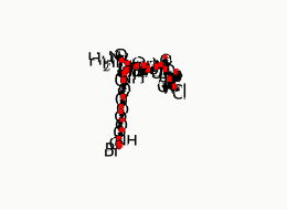 COCCN(CCN(C)C(=O)OCc1ccc(NC(=O)[C@H](CCCNC(N)=O)NC(=O)[C@@H](NC(=O)CCOCCOCCOCCOCCOCCOCCNC(=O)CBr)C(C)C)cc1)C(=O)Oc1cc2c(c3ccccc13)[C@H](CCl)CN2C(C)=O